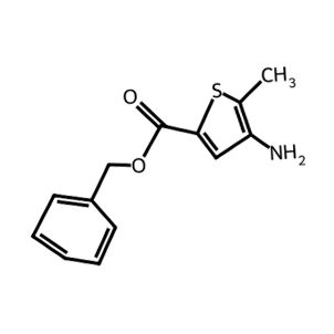 Cc1sc(C(=O)OCc2ccccc2)cc1N